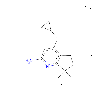 CC1(C)CCc2c(CC3CC3)cc(N)nc21